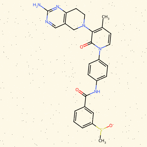 Cc1ccn(-c2ccc(NC(=O)c3cccc([S+](C)[O-])c3)cc2)c(=O)c1N1CCc2nc(N)ncc2C1